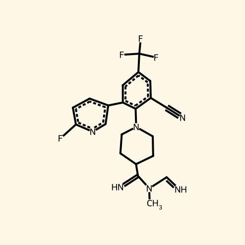 CN(C=N)C(=N)C1CCN(c2c(C#N)cc(C(F)(F)F)cc2-c2ccc(F)nc2)CC1